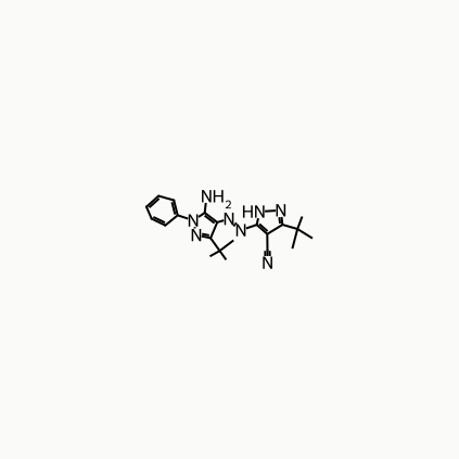 CC(C)(C)c1n[nH]c(/N=N/c2c(C(C)(C)C)nn(-c3ccccc3)c2N)c1C#N